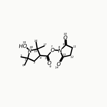 CC1(C)CC(C(=O)ON2C(=O)CCC2=O)C(C)(C)N1O